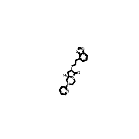 O=C1[C@@H](CCCc2cccc3ncsc23)C[C@H]2CN(c3ccccn3)CCN12